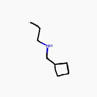 [CH2]CCNCC1CCC1